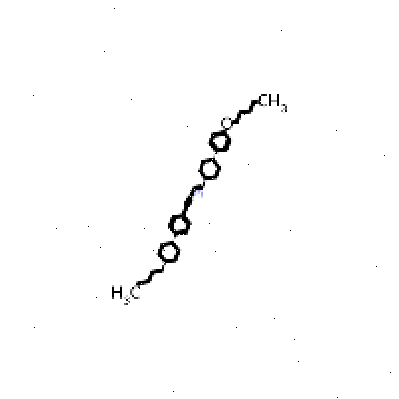 CCCCCOc1ccc([C@H]2CC[C@H](/C=C/C#Cc3ccc([C@H]4CC[C@H](CCCCC)CC4)cc3)CC2)cc1